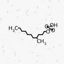 CCCCCCCC(C)CCCOS(=O)(=O)O